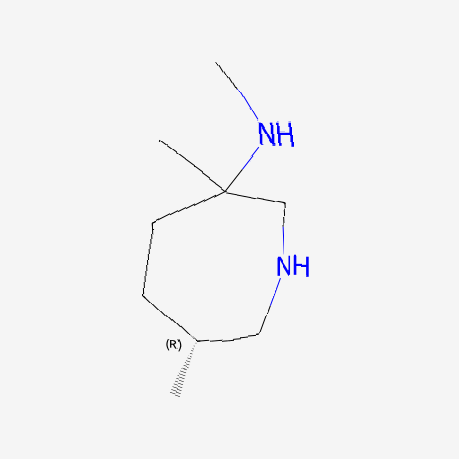 CNC1(C)CC[C@@H](C)CNC1